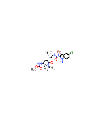 C[C@H](CC[C@@H](CCNC(=O)OC(C)(C)C)C(=O)N(C)C)NC(=O)c1[nH]c2ccc(Cl)cc2c1Br